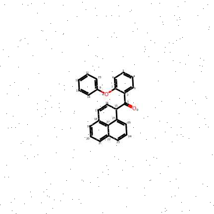 O=C(c1ccccc1Oc1ccccc1)C1C=Cc2cccc3cccc1c23